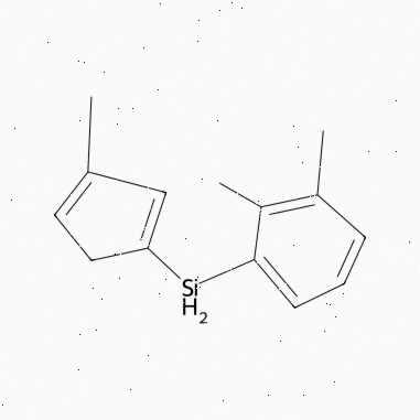 CC1=CCC([SiH2]c2cccc(C)c2C)=C1